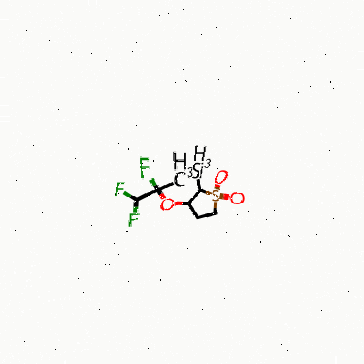 CC(F)(OC1CCS(=O)(=O)C1[SiH3])C(F)F